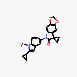 Cn1c(C2CC2)cc2cc(NC(=O)C3(c4ccc5c(c4)OCO5)CC3)ccc21